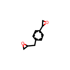 c1cc(C2CO2)ccc1CC1CO1